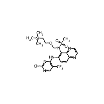 C[Si](C)(C)CCOCN(c1c(Nc2nc(Cl)ncc2C(F)(F)F)ccc2nccnc12)S(C)(=O)=O